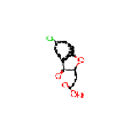 O=C(O)CC1Oc2ccc(Cl)cc2C1=O